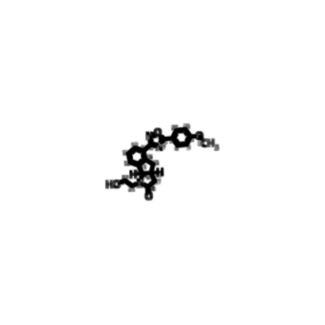 COc1ccc(-c2nc(-c3cccc4c3C[C@@H]3CC(=O)N(CCO)[C@H]43)no2)cc1